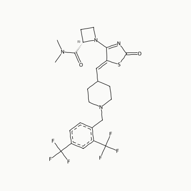 CN(C)C(=O)[C@@H]1CCN1C1=NC(=O)SC1=CC1CCN(Cc2ccc(C(F)(F)F)cc2C(F)(F)F)CC1